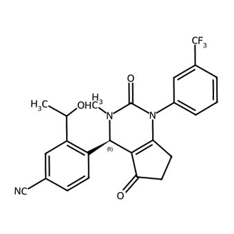 CC(O)c1cc(C#N)ccc1[C@@H]1C2=C(CCC2=O)N(c2cccc(C(F)(F)F)c2)C(=O)N1C